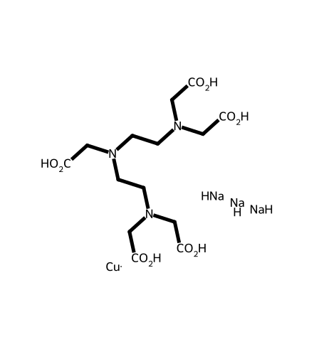 O=C(O)CN(CCN(CC(=O)O)CC(=O)O)CCN(CC(=O)O)CC(=O)O.[Cu].[NaH].[NaH].[NaH]